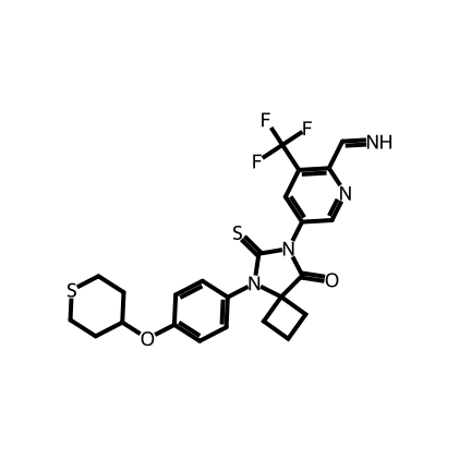 N=Cc1ncc(N2C(=O)C3(CCC3)N(c3ccc(OC4CCSCC4)cc3)C2=S)cc1C(F)(F)F